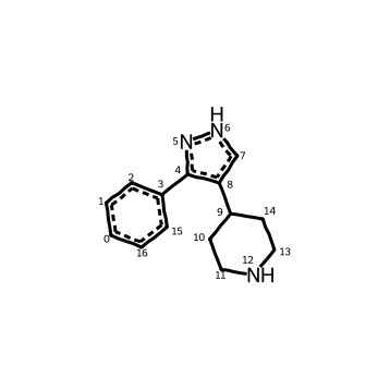 c1ccc(-c2n[nH]cc2C2CCNCC2)cc1